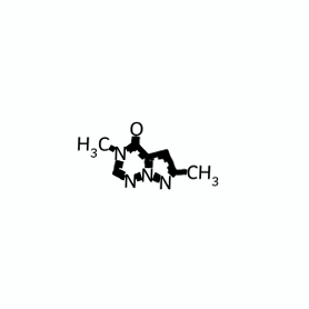 Cc1cc2c(=O)n(C)cnn2n1